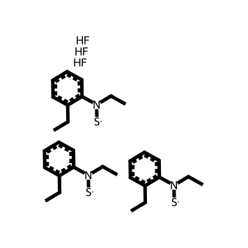 CCc1ccccc1N([S])CC.CCc1ccccc1N([S])CC.CCc1ccccc1N([S])CC.F.F.F